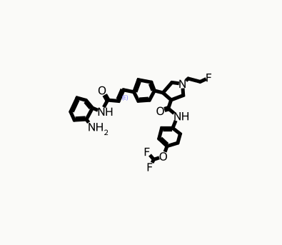 Nc1ccccc1NC(=O)/C=C/c1ccc(C2CN(CCF)CC2C(=O)NC2=CC=C(OC(F)F)CC2)cc1